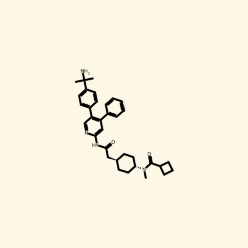 CN(C(=O)C1CCC1)[C@H]1CC[C@H](CC(=O)Nc2cc(-c3ccccc3)c(-c3ccc(C(C)(C)N)cc3)cn2)CC1